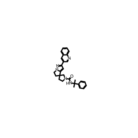 CC(C)(NC(=O)N1CCC2(CCn3nc(-c4cnc5ccccc5c4)cc32)C1)c1ccccc1